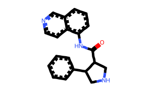 O=C(Nc1cccc2cnccc12)C1CNCC1c1ccccc1